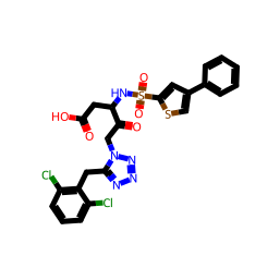 O=C(O)CC(NS(=O)(=O)c1cc(-c2ccccc2)cs1)C(=O)Cn1nnnc1Cc1c(Cl)cccc1Cl